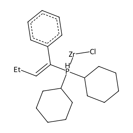 CCC=C(c1ccccc1)[PH]([Zr][Cl])(C1CCCCC1)C1CCCCC1